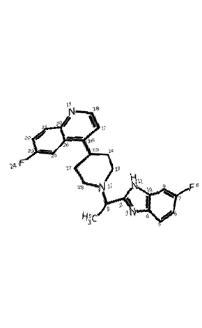 CC(c1nc2ccc(F)cc2[nH]1)N1CCC(c2ccnc3ccc(F)cc23)CC1